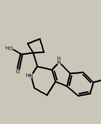 Cc1ccc2c3c([nH]c2c1)C(C1(C(=O)O)CCC1)NCC3